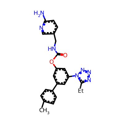 CCc1nnnn1-c1cc(OC(=O)NCc2ccc(N)nc2)cc(-c2ccc(C)cc2)c1